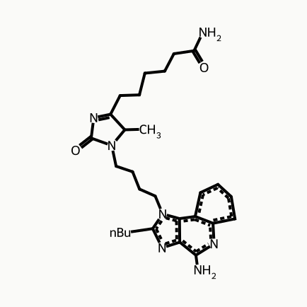 CCCCc1nc2c(N)nc3ccccc3c2n1CCCCN1C(=O)N=C(CCCCCC(N)=O)C1C